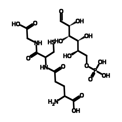 NC(CCC(=O)NC(CS)C(=O)NCC(=O)O)C(=O)O.O=C[C@H](O)[C@@H](O)[C@H](O)[C@H](O)COP(=O)(O)O